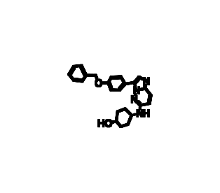 O[C@H]1CC[C@H](Nc2ccc3ncc(-c4ccc(OCc5ccccc5)cc4)n3n2)CC1